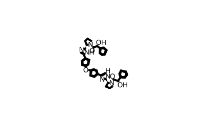 O=C(C(O)c1ccccc1)N1CCC[C@H]1c1nc(-c2ccc(Oc3ccc(-c4cnc([C@@H]5CCCN5C(=O)C(O)c5ccccc5)[nH]4)cc3)cc2)c[nH]1